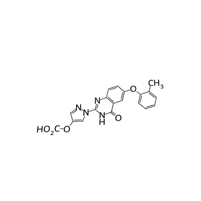 Cc1ccccc1Oc1ccc2nc(-n3cc(OC(=O)O)cn3)[nH]c(=O)c2c1